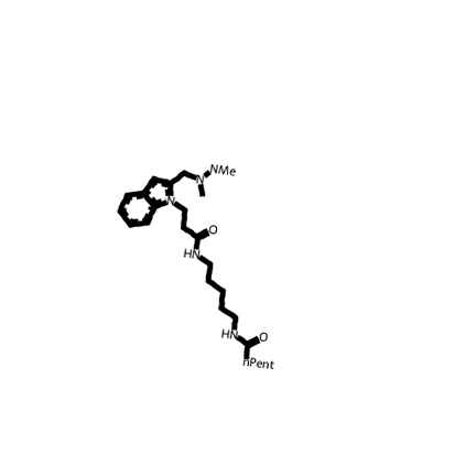 CCCCCC(=O)NCCCCCNC(=O)CCn1c(CN(C)NC)cc2ccccc21